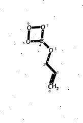 C=CCOB1OOO1